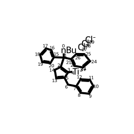 CCCCC(C1=[C]([Ti+3])C(Cc2ccccc2)=CC1)(c1ccccc1)c1ccccc1.[Cl-].[Cl-].[Cl-]